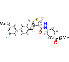 COc1cc(F)cc(-c2ccc(Cc3c(C)sc(C)c3C(=O)N[C@H]3CC[C@@H](C(=O)OC)CC3)cc2)c1